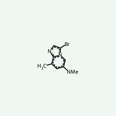 CNc1cc(C)c2ncc(Br)n2c1